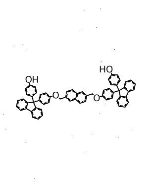 Oc1ccc(C2(c3ccc(OCc4ccc5cc(COc6ccc(C7(c8ccc(O)cc8)c8ccccc8-c8ccccc87)cc6)ccc5c4)cc3)c3ccccc3-c3ccccc32)cc1